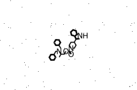 CC(COC(=O)N1CCC(c2c[nH]c3ccccc23)CC1)N(Cc1ccccc1)Cc1ccccc1